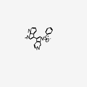 Cn1cc(-c2cn([S+]([O-])c3ccccc3)c3cnccc23)c2cccnc21